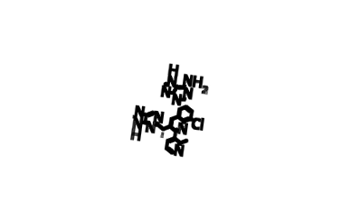 Cc1ncccc1-c1nc2c(Cl)cccc2cc1[C@H](C)c1ncc2nc[nH]c2n1.Nc1ncnc2nc[nH]c12